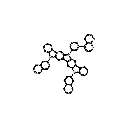 c1cc(-c2ccnc3ncccc23)cc(-n2c3cc4c5ccccc5n(-c5ccc6ccccc6c5)c4cc3c3cc4c(cc32)c2ccccc2n4-c2ccc3ccccc3c2)c1